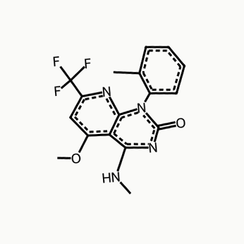 CNc1nc(=O)n(-c2ccccc2C)c2nc(C(F)(F)F)cc(OC)c12